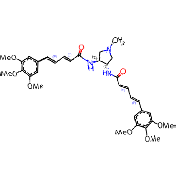 COc1cc(/C=C/C=C/C(=O)N[C@H]2CN(C)C[C@@H]2NC(=O)/C=C/C=C/c2cc(OC)c(OC)c(OC)c2)cc(OC)c1OC